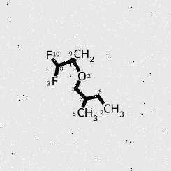 C=C(OCC(C)CC)C(F)F